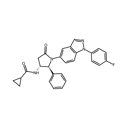 O=C(N[C@@H]1CC(=O)N(c2ccc3c(cnn3-c3ccc(F)cc3)c2)[C@H]1c1ccccc1)C1CC1